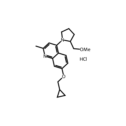 COCC1CCCN1c1cc(C)nc2cc(OCC3CC3)ccc12.Cl